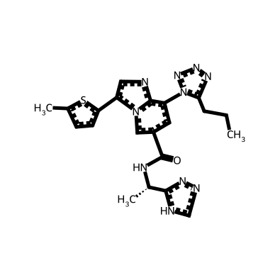 CCCc1nnnn1-c1cc(C(=O)N[C@@H](C)c2nnc[nH]2)cn2c(-c3ccc(C)s3)cnc12